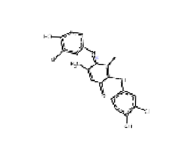 CC1=C(Nc2ccc(O)c(Cl)c2)C(=O)C=C(N)/C1=N\c1ccc(O)c(Cl)c1